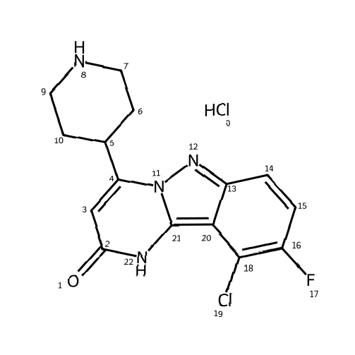 Cl.O=c1cc(C2CCNCC2)n2nc3ccc(F)c(Cl)c3c2[nH]1